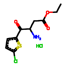 CCOC(=O)CC(N)C(=O)c1ccc(Cl)s1.Cl